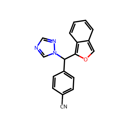 N#Cc1ccc(C(c2occ3ccccc23)n2cncn2)cc1